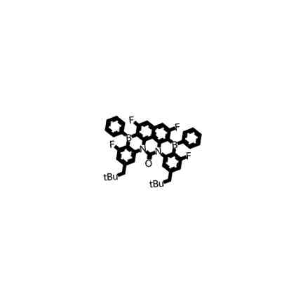 CC(C)(C)Cc1cc(F)c2c(c1)N1C(=O)N3c4cc(CC(C)(C)C)cc(F)c4B(c4ccccc4)c4c(F)cc5cc(F)c(c1c5c43)B2c1ccccc1